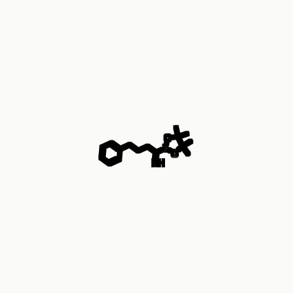 CC1(C)OB(C(=N)CCCc2ccccc2)OC1(C)C